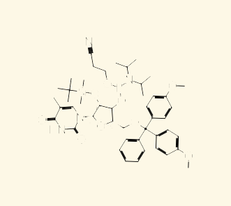 COc1ccc(C(OC[C@H]2O[C@@H](n3cc(C)c(=O)[nH]c3=O)[C@@H](O[Si](C)(C)C(C)(C)C)C2OP(OCCC#N)N(C(C)C)C(C)C)(c2ccccc2)c2ccc(OC)cc2)cc1